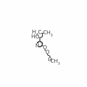 COCCOCOc1cncc(C(O)CC(C)C)c1